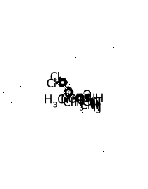 Cc1nc(O[C@H]2CC[C@H](c3ccc(Cl)c(Cl)c3)C[C@@H]2N(C)C)ccc1S(=O)(=O)Nc1ccncn1